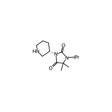 CC(C)N1C(=O)N([C@H]2CCCNC2)C(=O)C1(C)C